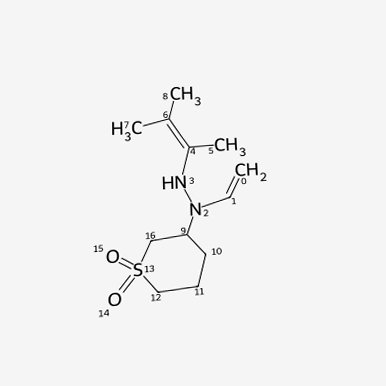 C=CN(NC(C)=C(C)C)C1CCCS(=O)(=O)C1